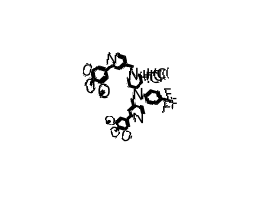 COc1cc(-c2cc(CN3CCC(N(Cc4ccnc(-c5cc(OC)c(OC)c(OC)c5)c4)c4ccc(C(F)(F)F)cc4)CC3)ccn2)cc(OC)c1OC.Cl.Cl.Cl